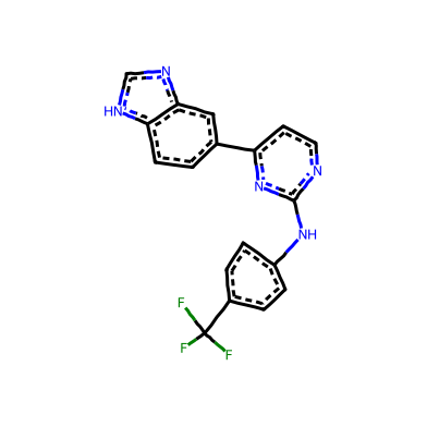 FC(F)(F)c1ccc(Nc2nccc(-c3ccc4[nH]cnc4c3)n2)cc1